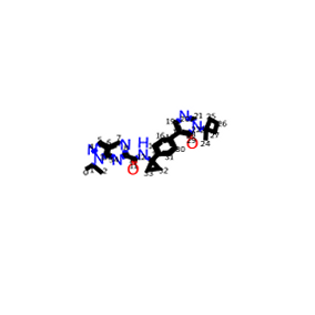 CC(C)n1ncc2cnc(C(=O)NC3(c4ccc(-c5cncn(C6(C)CCC6)c5=O)cc4)CC3)nc21